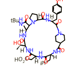 CC(C)C[C@H]1NC(=O)C2CCN(CC2)C(=O)[C@H](Cc2ccc(O)cc2)NC(=O)[C@@H]2CCCN2C(C(=O)NC(C)(C)C)[C@H](C)NC(=O)[C@H]([C@@H](C)O)NC(=O)[C@@H](CC(=O)O)NC1=O